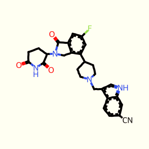 N#Cc1ccc2c(CN3CCC(c4cc(F)cc5c4CN(C4CCC(=O)NC4=O)C5=O)CC3)c[nH]c2c1